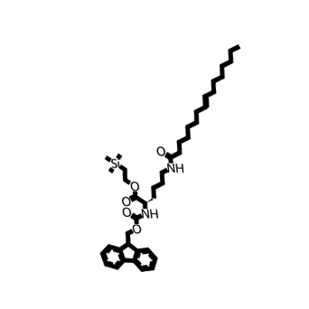 CCCCCCCC=CCCCCCCC(=O)NCCCC[C@H](NC(=O)OCC1c2ccccc2-c2ccccc21)C(=O)OCC[Si](C)(C)C